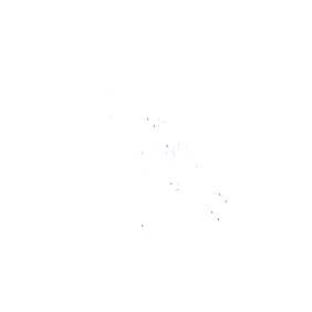 Cc1cc(NC(=O)NS(=O)(=O)N(c2cnn(C)c2)[C@H]2CCCN(C)C2)c(C2CC2)s1